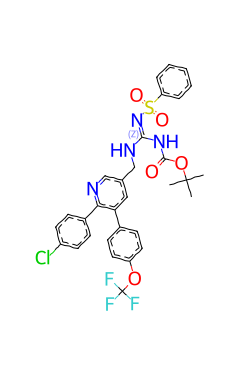 CC(C)(C)OC(=O)N/C(=N\S(=O)(=O)c1ccccc1)NCc1cnc(-c2ccc(Cl)cc2)c(-c2ccc(OC(F)(F)F)cc2)c1